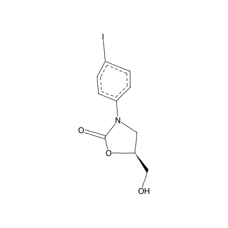 O=C1O[C@H](CO)CN1c1ccc(I)cc1